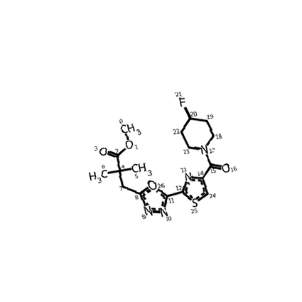 COC(=O)C(C)(C)Cc1nnc(-c2nc(C(=O)N3CCC(F)CC3)cs2)o1